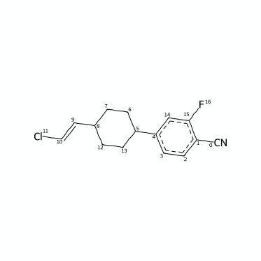 N#Cc1ccc(C2CCC(/C=C/Cl)CC2)cc1F